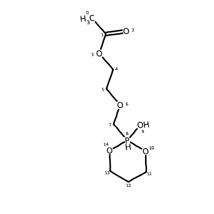 CC(=O)OCCOC[PH]1(O)OCCCO1